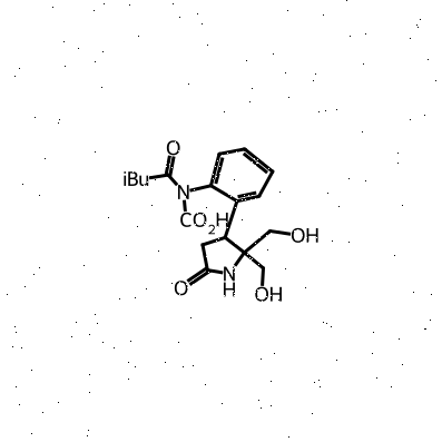 CCC(C)C(=O)N(C(=O)O)c1ccccc1C1CC(=O)NC1(CO)CO